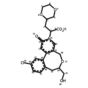 O=C(O)C(CC1COCCO1)n1cc2c(cc1=O)-c1cc(Cl)ccc1CC(CO)OC2